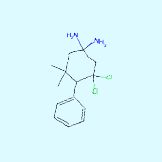 CC1(C)CC(N)(N)CC(Cl)(Cl)C1c1ccccc1